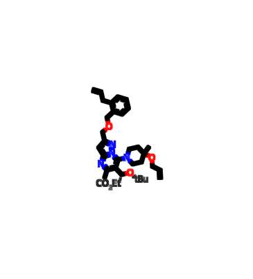 C=CCOC1(C)CCN(c2c([C@H](OC(C)(C)C)C(=O)OCC)c(C)nc3cc(COCc4ccccc4CC=C)nn23)CC1